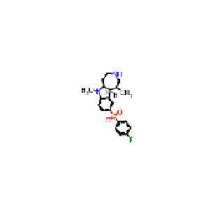 CC1CNCCC2[C@@H]1c1cc(S(=O)(=O)c3ccc(F)cc3)ccc1N2C